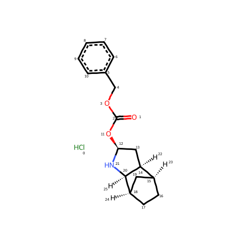 Cl.O=C(OCc1ccccc1)O[C@H]1C[C@H]2[C@H]3CC[C@H](C3)[C@H]2N1